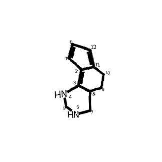 C1=CC2=C3NCNCC3CCC2=C1